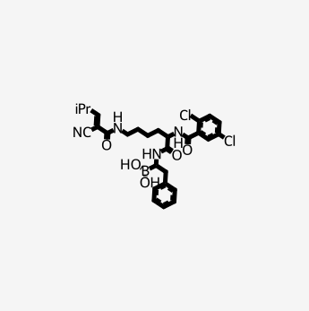 CC(C)C=C(C#N)C(=O)NCCCCC(NC(=O)c1cc(Cl)ccc1Cl)C(=O)NC(Cc1ccccc1)B(O)O